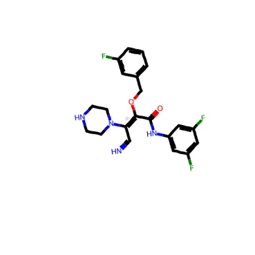 N=C/C(=C(/OCc1cccc(F)c1)C(=O)Nc1cc(F)cc(F)c1)N1CCNCC1